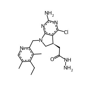 CCc1c(C)cnc(CN2C[C@H](CC(=O)NN)c3c(Cl)nc(N)nc32)c1C